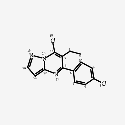 CCc1c(-c2ccc(Cl)cc2)nc2ccnn2c1Cl